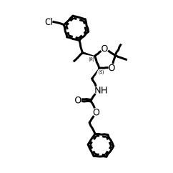 CC(c1cccc(Cl)c1)[C@H]1OC(C)(C)O[C@H]1CNC(=O)OCc1ccccc1